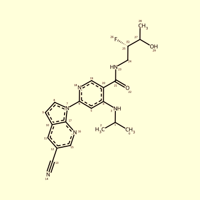 CC(C)Nc1cc(-n2ccc3cc(C#N)cnc32)ncc1C(=O)NC[C@H](F)C(C)O